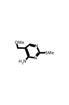 COCc1cnc(SC)nc1N